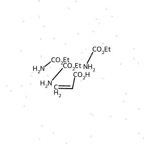 C=CC(=O)O.CCOC(N)=O.CCOC(N)=O.CCOC(N)=O